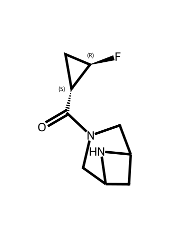 O=C([C@@H]1C[C@H]1F)N1CC2CC(C1)N2